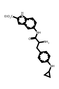 CCOC(=O)c1cc2cc(NC(=O)C(N)Cc3ccc(NC4CC4)cc3)ccc2[nH]1